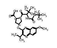 COc1ccc2nc(C(C)C)c(O[C@@H]3C[C@@H](C(=O)O)N(C(=O)C(NC(=O)OC(C)(C)C)C(C)(C)C)C3)nc2c1